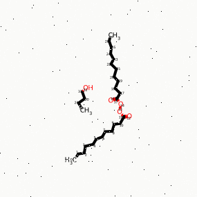 CCCCCCCCCCCC(=O)OOC(=O)CCCCCCCCCCC.CCCCO